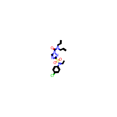 C=CCN(CC=C)C(=O)n1cnc(S(=O)(=O)N(CC)c2ccc(Cl)cc2)n1